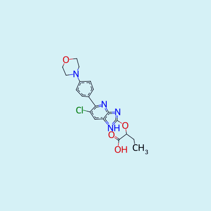 CCC(Oc1nc2nc(-c3ccc(N4CCOCC4)cc3)c(Cl)cc2[nH]1)C(=O)O